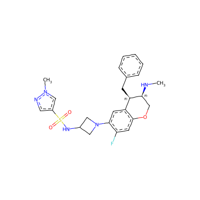 CN[C@H]1COc2cc(F)c(N3CC(NS(=O)(=O)c4cnn(C)c4)C3)cc2[C@H]1Cc1ccccc1